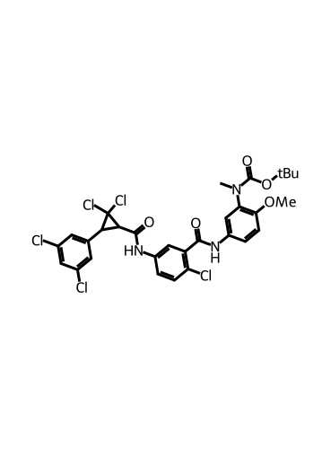 COc1ccc(NC(=O)c2cc(NC(=O)C3C(c4cc(Cl)cc(Cl)c4)C3(Cl)Cl)ccc2Cl)cc1N(C)C(=O)OC(C)(C)C